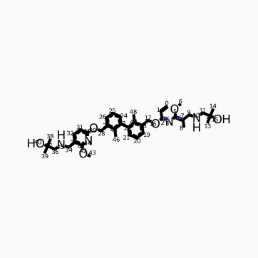 C=C/C(=N\C(OC)=C(/C)CNCC(C)(C)O)OCc1cccc(-c2cccc(COc3ccc(CNCC(C)(C)O)c(OC)n3)c2C)c1C